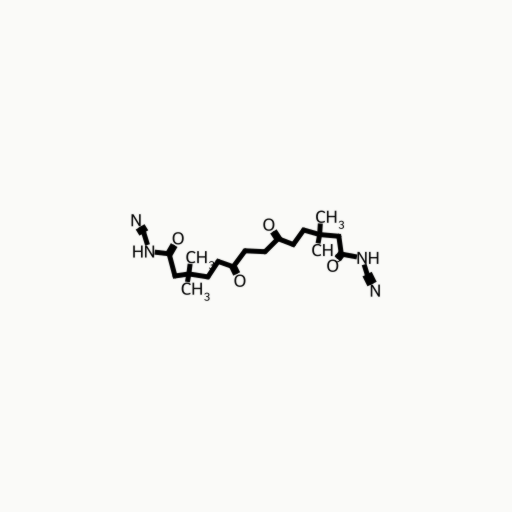 CC(C)(CCC(=O)CCC(=O)CCC(C)(C)CC(=O)NC#N)CC(=O)NC#N